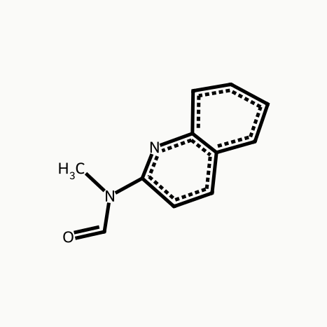 CN(C=O)c1ccc2ccccc2n1